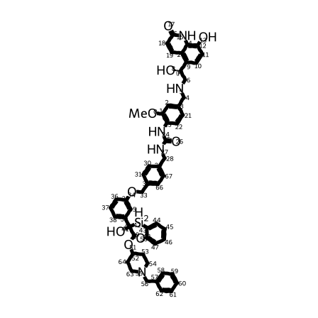 COc1cc(CNC[C@H](O)c2ccc(O)c3[nH]c(=O)ccc23)ccc1NC(=O)NCc1ccc(COc2cccc(C(O)([SiH2]c3ccccc3)C(=O)OC3CCN(Cc4ccccc4)CC3)c2)cc1